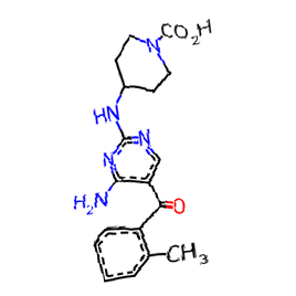 Cc1ccccc1C(=O)c1cnc(NC2CCN(C(=O)O)CC2)nc1N